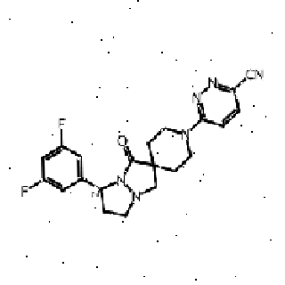 N#Cc1ccc(N2CCC3(CC2)CN2CC[C@@H](c4cc(F)cc(F)c4)N2C3=O)nn1